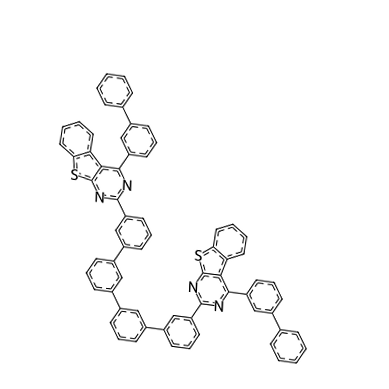 c1ccc(-c2cccc(-c3nc(-c4cccc(-c5cccc(-c6cccc(-c7cccc(-c8nc(-c9cccc(-c%10ccccc%10)c9)c9c(n8)sc8ccccc89)c7)c6)c5)c4)nc4sc5ccccc5c34)c2)cc1